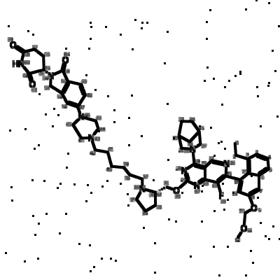 CCc1cccc2cc(OCOC)cc(-c3ncc4c(N5CC6CCC(C6)C5)nc(OC[C@@H]5CCCN5CCCCCCN5CCN(c6ccc7c(c6)CN([C@H]6CCC(=O)NC6=O)C7=O)CC5)nc4c3F)c12